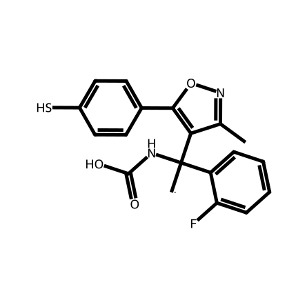 [CH2]C(NC(=O)O)(c1ccccc1F)c1c(C)noc1-c1ccc(S)cc1